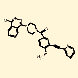 COc1ccc(C(=O)N2CCN(c3nnc(Cl)c4ccccc34)CC2)cc1C#Cc1ccccn1